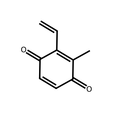 C=CC1=C(C)C(=O)C=CC1=O